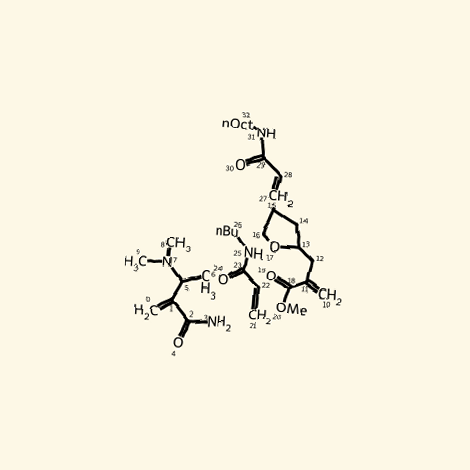 C=C(C(N)=O)C(C)N(C)C.C=C(CC1CCCO1)C(=O)OC.C=CC(=O)NCCCC.C=CC(=O)NCCCCCCCC